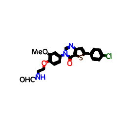 COc1cc(-n2cnc3cc(-c4ccc(Cl)cc4)sc3c2=O)ccc1OCCNC=O